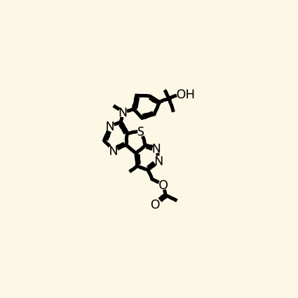 CC(=O)OCc1nnc2sc3c(N(C)c4ccc(C(C)(C)O)cc4)ncnc3c2c1C